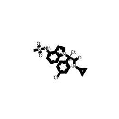 CC[C@](C(=O)NC1CC1)(c1ccc(Cl)cc1)n1ccc2c(NS(C)(=O)=O)cccc21